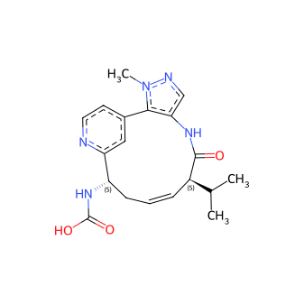 CC(C)[C@H]1C=CC[C@H](NC(=O)O)c2cc(ccn2)-c2c(cnn2C)NC1=O